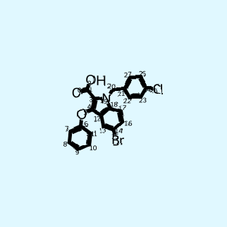 O=C(O)c1c(Oc2ccccc2)c2cc(Br)ccc2n1Cc1ccc(Cl)cc1